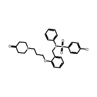 O=C1CCN(CCCOc2ccccc2CN(c2ccccc2)S(=O)(=O)c2ccc(Cl)cc2)CC1